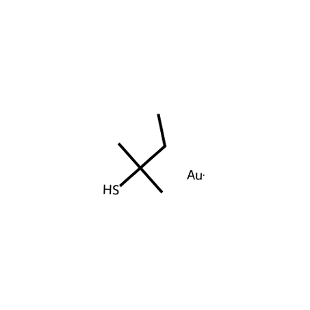 CCC(C)(C)S.[Au]